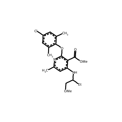 CCC(COC)Nc1cc(C)nc(Oc2c(C)cc(Cl)cc2C)c1C(=O)OC